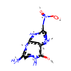 Nc1nc2[nH]c([N+](=O)[O-])nc2c(=O)[nH]1